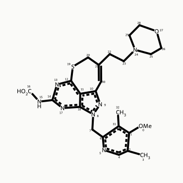 COc1c(C)cnc(Cn2nc3c4c(nc(NC(=O)O)nc42)SCC(CCN2CCOCC2)=C3)c1C